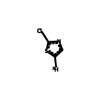 [2H]c1cnc(Cl)s1